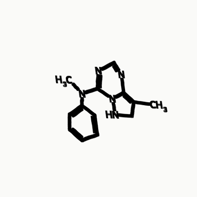 CC1=C2N=CN=C(N(C)c3ccccc3)N2NC1